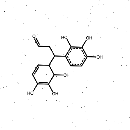 O=CCC(c1ccc(O)c(O)c1O)C1C=CC(O)=C(O)C1O